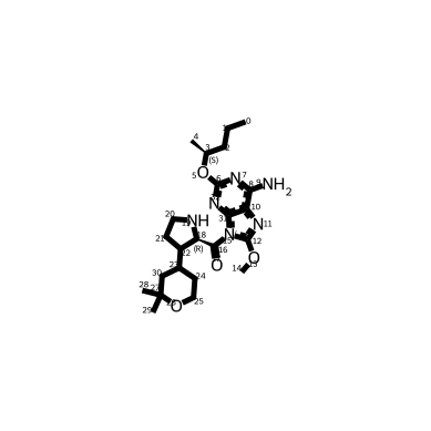 CCC[C@H](C)Oc1nc(N)c2nc(OC)n(C(=O)[C@@H]3NCCC3C3CCOC(C)(C)C3)c2n1